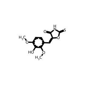 COc1ccc(C=C2OC(=S)NC2=O)c(OC)c1O